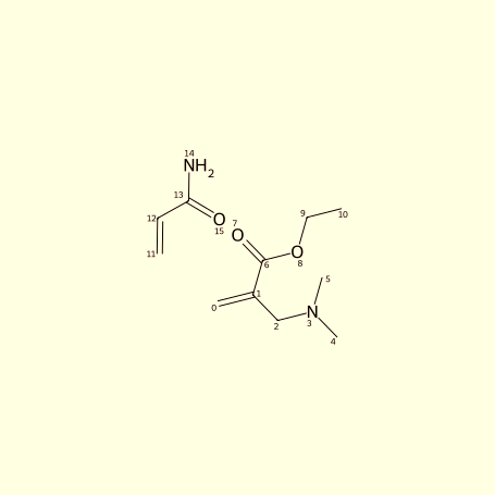 C=C(CN(C)C)C(=O)OCC.C=CC(N)=O